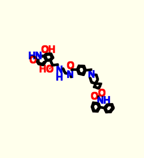 CN(CCNC[C@H](O)c1ccc(O)c2[nH]c(=O)ccc12)C(=O)c1ccc(CN2CCC3(CC2)CC(OC(=O)Nc2ccccc2-c2ccccc2)C3)cc1